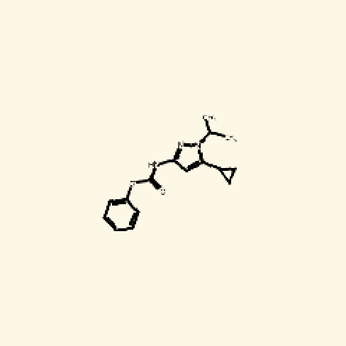 CC(C)n1nc(NC(=O)Oc2ccccc2)cc1C1CC1